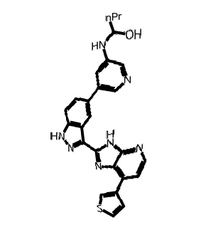 CCCC(O)Nc1cncc(-c2ccc3[nH]nc(-c4nc5c(-c6ccsc6)ccnc5[nH]4)c3c2)c1